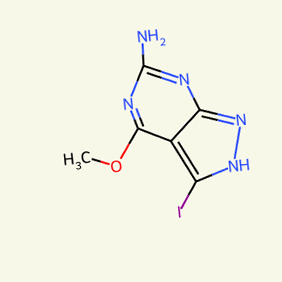 COc1nc(N)nc2n[nH]c(I)c12